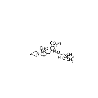 CCOC(=O)c1cc(Cc2ccc(N3CC4CC4C3)nc2C=O)n(COCC[Si](C)(C)C)n1